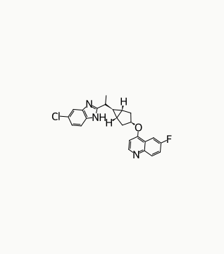 CC(c1nc2cc(Cl)ccc2[nH]1)[C@H]1[C@@H]2C[C@@H](Oc3ccnc4ccc(F)cc34)C[C@@H]21